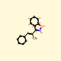 N#CC(=Cc1ccccc1)c1noc2ccccc12